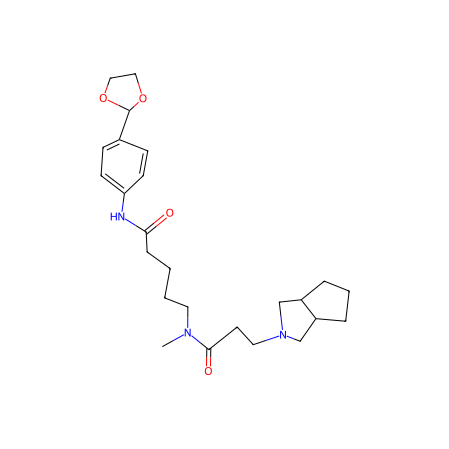 CN(CCCCC(=O)Nc1ccc(C2OCCO2)cc1)C(=O)CCN1CC2CCCC2C1